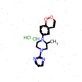 CC1CN(c2ncccn2)CCN1c1ccc2c(c1)C=COO2.Cl.Cl